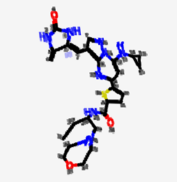 C=c1[nH]c(=O)[nH]/c1=C\c1cnn2c(NC3CC3)cc(-c3ccc(C(=O)NC(CC)CN4CCOCC4)s3)nc12